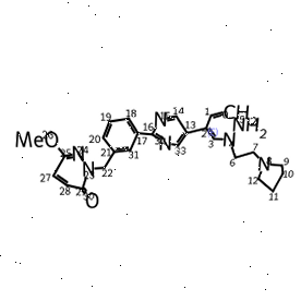 C=C/C(=C\N(N)CCN1CCCC1)c1cnc(-c2cccc(Cn3nc(OC)ccc3=O)c2)nc1